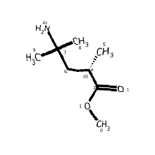 COC(=O)[C@@H](C)CC(C)(C)N